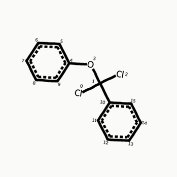 ClC(Cl)(Oc1ccccc1)c1ccccc1